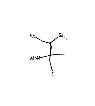 CCC([SiH3])C(C)(Cl)NC